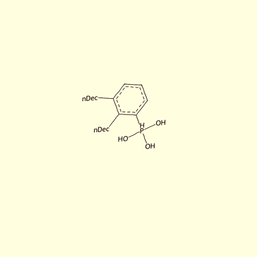 CCCCCCCCCCc1cccc([PH](O)(O)O)c1CCCCCCCCCC